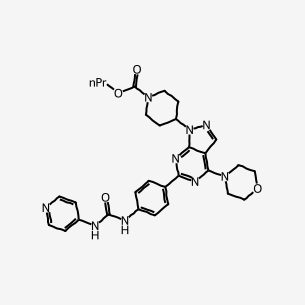 CCCOC(=O)N1CCC(n2ncc3c(N4CCOCC4)nc(-c4ccc(NC(=O)Nc5ccncc5)cc4)nc32)CC1